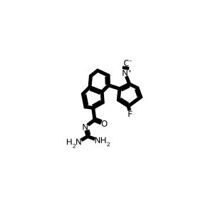 [C-]#[N+]c1ccc(F)cc1C1=CCCc2ccc(C(=O)N=C(N)N)cc21